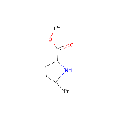 CC(C)OC(=O)C1CCC(C(C)C)N1